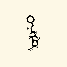 COc1cc(C2(C)SC(NCC3CCCCC3)=NC2=O)ccn1